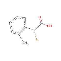 Cc1ccccc1[C@@H](Br)C(=O)O